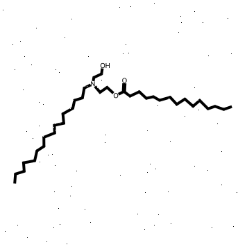 CCCCCCCCCCCCCCCCN(CCO)CCOC(=O)CCCCCCCCCCCCCC